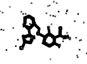 NC(=O)c1c(F)ccc(OCc2cccnc2-c2ncc(Cl)s2)c1F